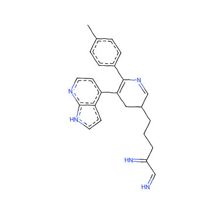 Cc1ccc(C2=C(c3ccnc4[nH]ccc34)CC(CCCC(=N)C=N)C=N2)cc1